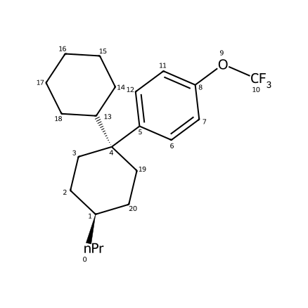 CCC[C@H]1CC[C@](c2ccc(OC(F)(F)F)cc2)(C2CCCCC2)CC1